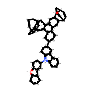 C1=CC2C3C=CC1c1cc4c5ccc(-c6ccc7c(c6)c6ccccc6n7-c6ccc7oc8ccccc8c7c6)cc5c5cc6c(cc5c4cc1C23)C1C=CC2C3C6C23C=C1